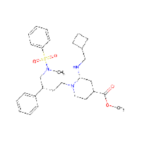 COC(=O)C1CCN(CC[C@@H](CN(C)S(=O)(=O)c2ccccc2)c2ccccc2)[C@H](NCC2CCC2)C1